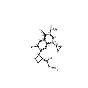 NC/C(Cl)=C1\CCN1c1cc2c(cc1F)c(=O)c(C(=O)O)cn2C1CC1